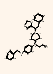 CC(C)CCN(c1ccc(OCc2ccccc2)cc1)C1CCN(C(Cc2ccccc2)C2=COCO2)CC1